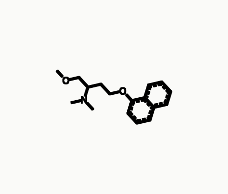 COCC(CCOc1cccc2ccccc12)N(C)C